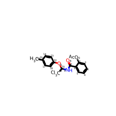 CC(=O)Oc1ccccc1C(=O)NC(Oc1ccc(C)cc1)C(Cl)(Cl)Cl